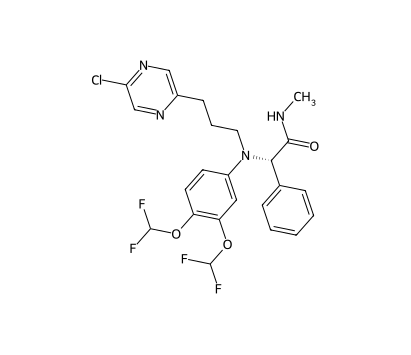 CNC(=O)[C@H](c1ccccc1)N(CCCc1cnc(Cl)cn1)c1ccc(OC(F)F)c(OC(F)F)c1